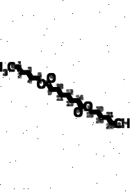 CCCCCCOC(=O)CCCCCCC(=O)OCCCCCC